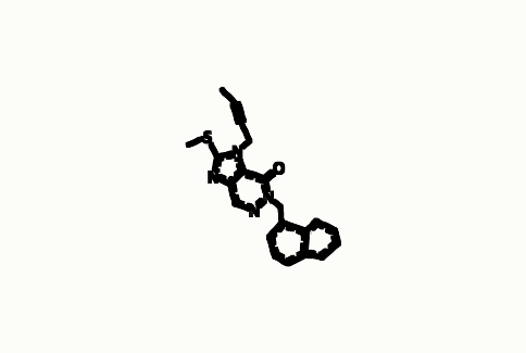 CC#CCn1c(SC)nc2cnn(Cc3cccc4ccccc34)c(=O)c21